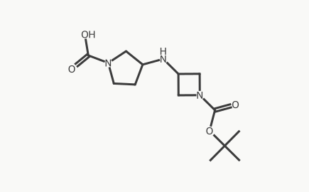 CC(C)(C)OC(=O)N1CC(NC2CCN(C(=O)O)C2)C1